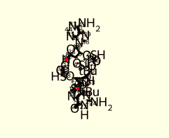 CC(C)(C)[Si](C)(C)OC1C2OP(=O)(S)OC[C@H]3O[C@@H](n4cnc5c(=O)[nH]c(N)nc54)C(OP(=O)(S)OC[C@H]1O[C@H]2n1cnc2c(N)ncnc21)C3O[Si](C)(C)C(C)(C)C